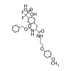 COc1ccc(OCCCNC(=O)[C@H](Cc2ccc(C(F)(F)P(=O)(O)O)cc2)NC(=O)OCc2ccccc2)cc1